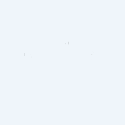 CCCCCC[C@@H](O)C/C=C\CCCCCCCC(=O)Oc1ccccc1.[CaH2]